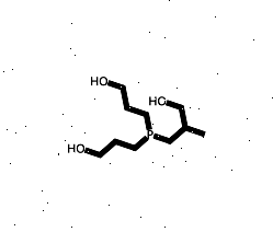 CC(CO)CP(CCCO)CCCO